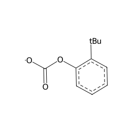 CC(C)(C)c1ccccc1OC([O])=O